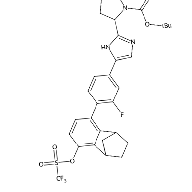 CC(C)(C)OC(=O)N1CCCC1c1ncc(-c2ccc(-c3ccc(OS(=O)(=O)C(F)(F)F)c4c3C3CCC4C3)c(F)c2)[nH]1